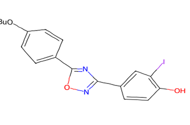 CC(C)COc1ccc(-c2nc(-c3ccc(O)c(I)c3)no2)cc1